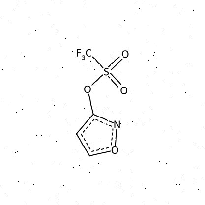 O=S(=O)(Oc1ccon1)C(F)(F)F